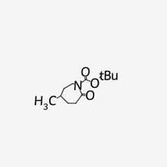 CC1CCC(=O)N(C(=O)OC(C)(C)C)CC1